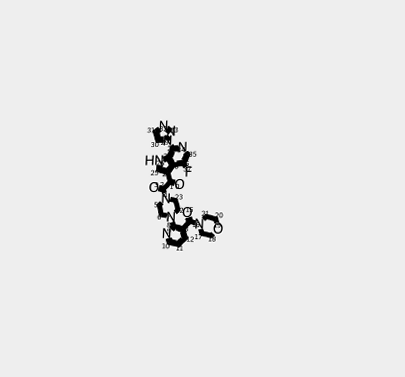 O=C(C(=O)N1CCN(c2ncccc2C(=O)N2CCOCC2)CC1)c1c[nH]c2c(-n3ccnn3)ncc(F)c12